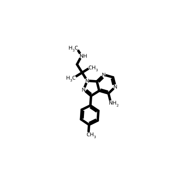 CNCC(C)(C)n1nc(-c2ccc(C)cc2)c2c(N)ncnc21